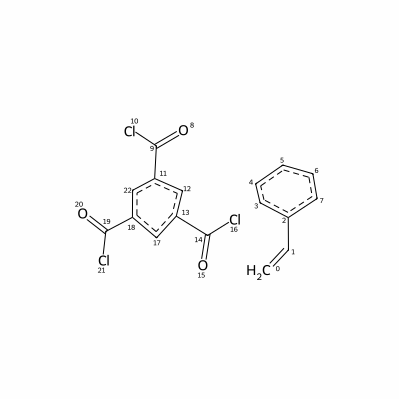 C=Cc1ccccc1.O=C(Cl)c1cc(C(=O)Cl)cc(C(=O)Cl)c1